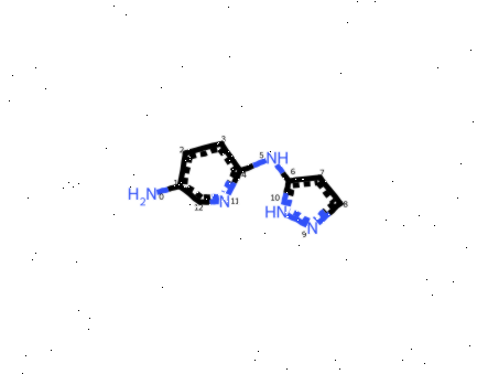 Nc1ccc(Nc2ccn[nH]2)nc1